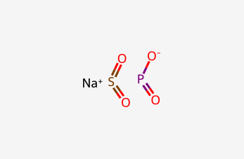 O=P[O-].O=S=O.[Na+]